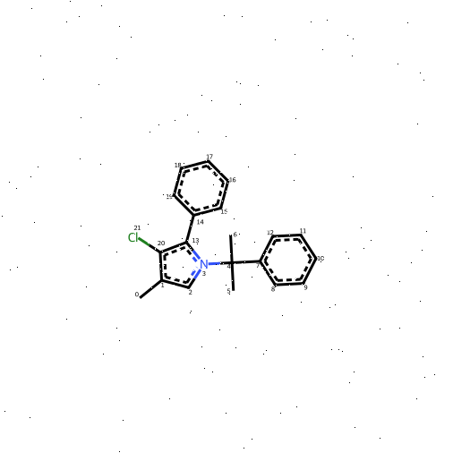 Cc1cn(C(C)(C)c2ccccc2)c(-c2ccccc2)c1Cl